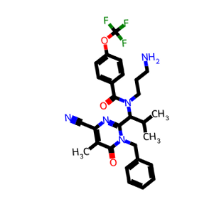 Cc1c(C#N)nc(C(C(C)C)N(CCCN)C(=O)c2ccc(OC(F)(F)F)cc2)n(Cc2ccccc2)c1=O